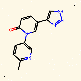 Cc1ccc(-n2cc(-c3c[nH]nn3)ccc2=O)cn1